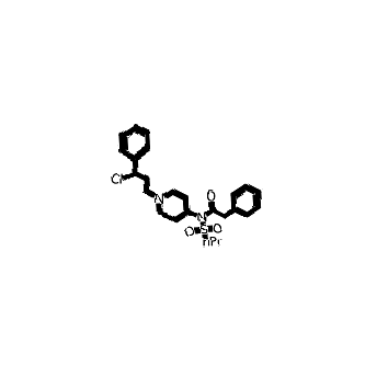 CCCS(=O)(=O)N(C(=O)Cc1ccccc1)C1CCN(CCC(Cl)c2ccccc2)CC1